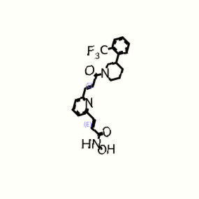 O=C(/C=C/c1cccc(/C=C/C(=O)N2CCCC(c3ccccc3C(F)(F)F)C2)n1)NO